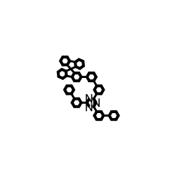 c1ccc(-c2cccc(-c3nc(-c4cccc(-c5ccccc5)c4)nc(-c4cccc(-c5cccc(-c6ccc7c(c6)C6(c8ccccc8-c8ccccc86)c6ccccc6-7)c5)c4)n3)c2)cc1